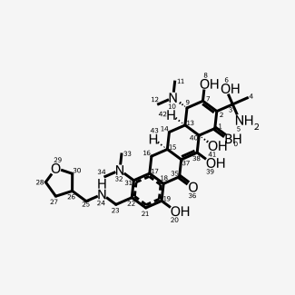 B=C1C(C(C)(N)O)=C(O)[C@@H](N(C)C)[C@@H]2C[C@@H]3Cc4c(c(O)cc(CNCC5CCOC5)c4N(C)C)C(=O)C3=C(O)[C@]12O